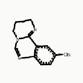 Oc1ccc2c(c1)C1=NCCCN1C=N2